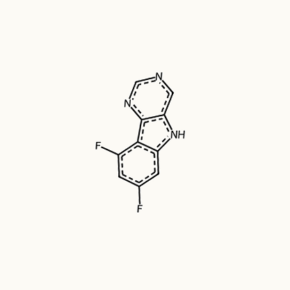 Fc1cc(F)c2c(c1)[nH]c1cncnc12